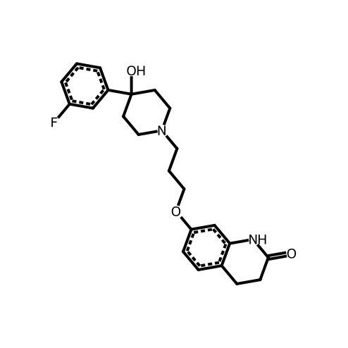 O=C1CCc2ccc(OCCCN3CCC(O)(c4cccc(F)c4)CC3)cc2N1